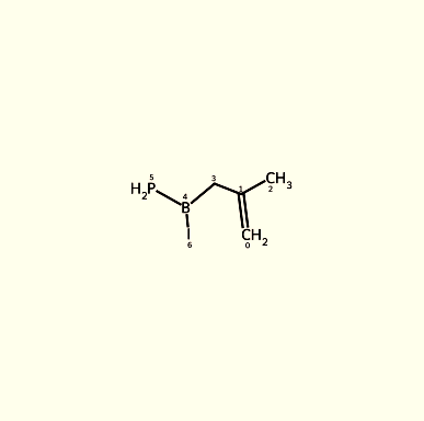 C=C(C)CB(P)I